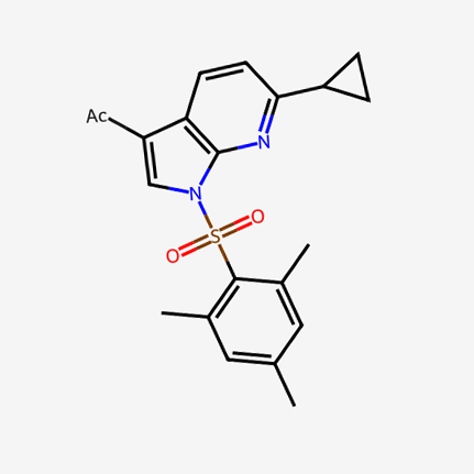 CC(=O)c1cn(S(=O)(=O)c2c(C)cc(C)cc2C)c2nc(C3CC3)ccc12